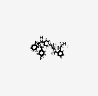 CCNc1ccccc1C(=O)NCCN1CCC(Nc2nc3ccccc3n2Cc2ccc(F)cc2)CC1